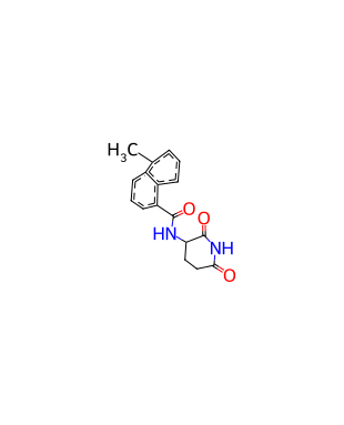 Cc1cccc2c(C(=O)NC3CCC(=O)NC3=O)cccc12